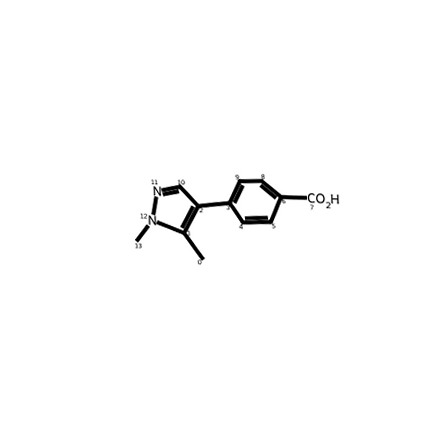 Cc1c(-c2ccc(C(=O)O)cc2)cnn1C